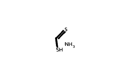 N.S=CS